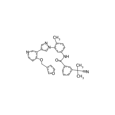 Cc1ccc(NC(=O)c2cccc(C(C)(C)C#N)c2)cc1-n1cc(-c2cnccc2OCc2ccoc2)cn1